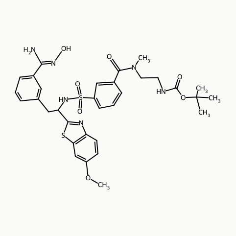 COc1ccc2nc(C(Cc3cccc(C(N)=NO)c3)NS(=O)(=O)c3cccc(C(=O)N(C)CCNC(=O)OC(C)(C)C)c3)sc2c1